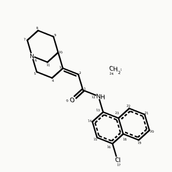 O=C(C=C1CCN2CCCC1C2)Nc1ccc(Cl)c2ccccc12.[CH2]